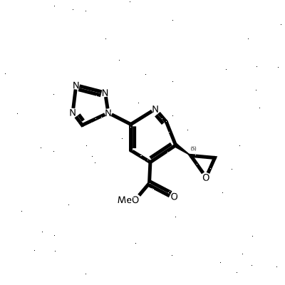 COC(=O)c1cc(-n2cnnn2)ncc1[C@H]1CO1